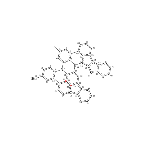 Cc1cc2c3c(c1)N(c1ccc(C(C)(C)C)cc1-c1ccccc1)c1cc4oc5ccccc5c4cc1B3n1c3sc4ccccc4c3c3cccc-2c31